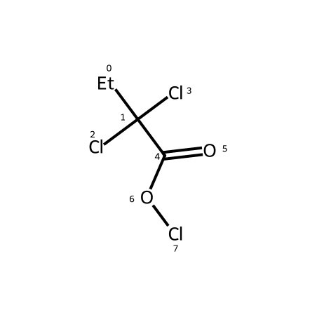 CCC(Cl)(Cl)C(=O)OCl